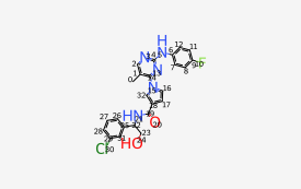 Cc1cnc(Nc2ccc(F)cc2)nc1-n1ccc(C(=O)NC(CO)c2cccc(Cl)c2)c1